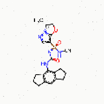 C[C@@H]1COc2c(S(=O)(=NC(=O)Nc3c4c(cc5c3CCC5)CCC4)NC#N)cnn21